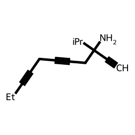 C#CC(N)(CC#CCC#CCC)C(C)C